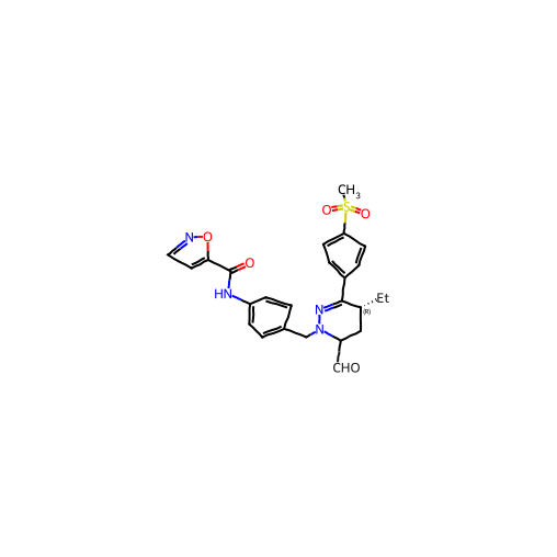 CC[C@@H]1CC(C=O)N(Cc2ccc(NC(=O)c3ccno3)cc2)N=C1c1ccc(S(C)(=O)=O)cc1